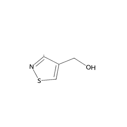 OCc1[c]nsc1